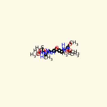 CCC(C)C(NC(=O)OC)C(=O)N1C[C@@H](C)CC1c1ncc(-c2ccc3c(c2)COc2cc4c(ccc5nc([C@@H]6CC(COC)CN6C(=O)OC(C)(C)C)[nH]c54)cc2-3)[nH]1